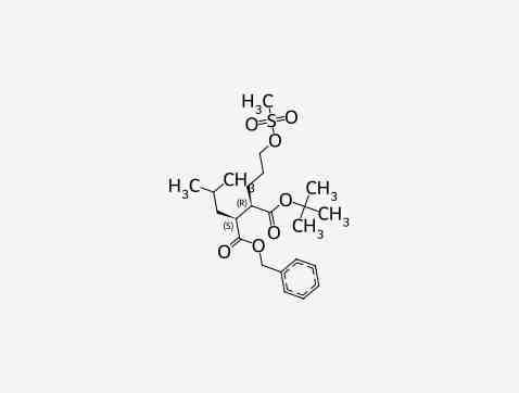 CC(C)C[C@H](C(=O)OCc1ccccc1)[C@@H](CCCOS(C)(=O)=O)C(=O)OC(C)(C)C